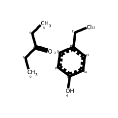 CCC(=O)CC.Oc1ccc(CCl)cc1